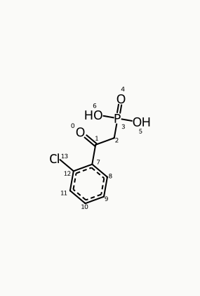 O=C(CP(=O)(O)O)c1ccccc1Cl